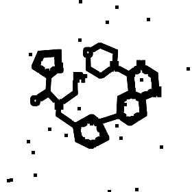 CC(C)CN(Cc1cccc(-c2ccc3ncnc(N4CCOCC4)c3c2)c1)C(=O)c1cccs1